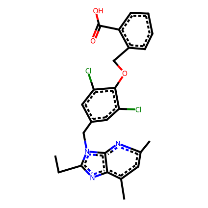 CCc1nc2c(C)cc(C)nc2n1Cc1cc(Cl)c(OCc2ccccc2C(=O)O)c(Cl)c1